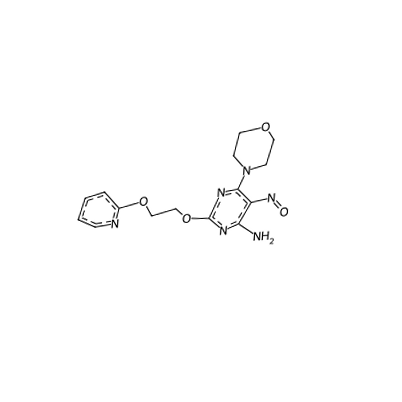 Nc1nc(OCCOc2ccccn2)nc(N2CCOCC2)c1N=O